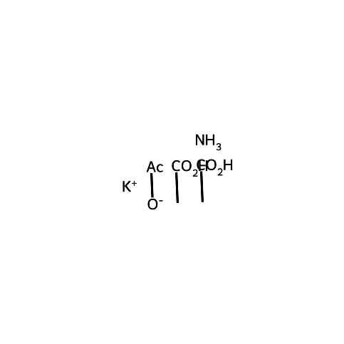 CC(=O)O.CC(=O)O.CC(=O)[O-].N.[K+]